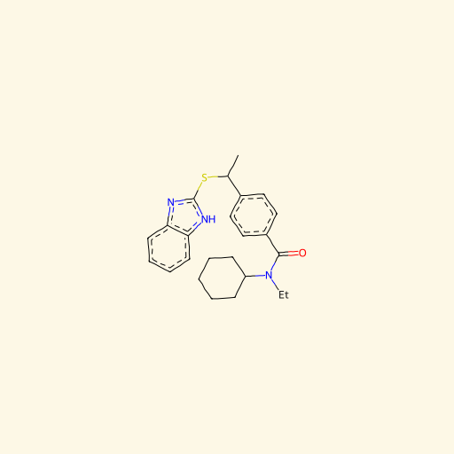 CCN(C(=O)c1ccc(C(C)Sc2nc3ccccc3[nH]2)cc1)C1CCCCC1